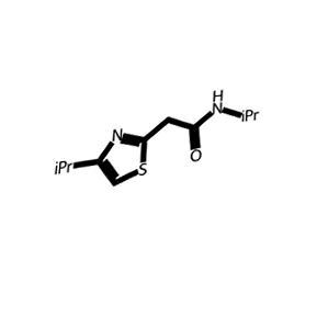 CC(C)NC(=O)Cc1nc(C(C)C)cs1